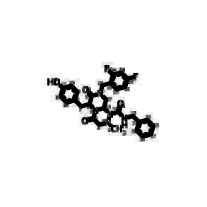 CN1CC(=O)N2C(Cc3ccc(O)cc3)C(=O)N(Cc3ccc(F)cc3F)CC2N1C(=O)NCc1ccccc1